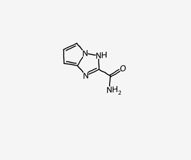 NC(=O)c1nc2cccn2[nH]1